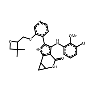 COc1c(Cl)cccc1Nc1c(-c2ccncc2OCC2OCC2(C)C)[nH]c2c1C(=O)NC1CC21